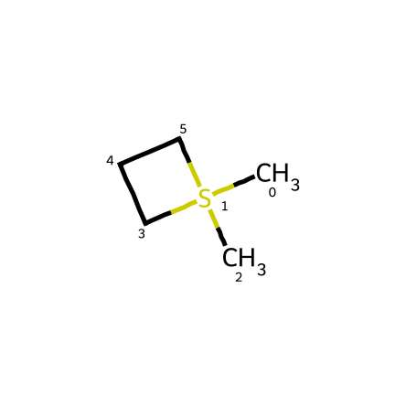 CS1(C)CCC1